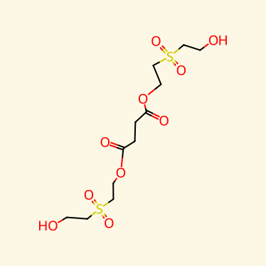 O=C(CCC(=O)OCCS(=O)(=O)CCO)OCCS(=O)(=O)CCO